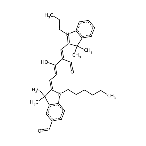 CCCCCCN1C(=C/C=C(\O)C(C=O)=CC2=[N+](CCC)c3ccccc3C2(C)C)C(C)(C)c2cc(C=O)ccc21